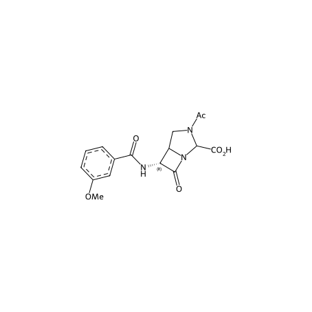 COc1cccc(C(=O)N[C@H]2C(=O)N3C2CN(C(C)=O)C3C(=O)O)c1